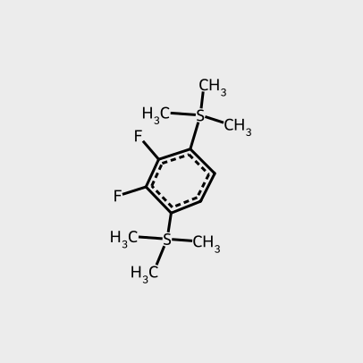 CS(C)(C)c1ccc(S(C)(C)C)c(F)c1F